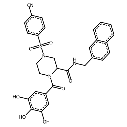 N#Cc1ccc(S(=O)(=O)N2CCN(C(=O)c3cc(O)c(O)c(O)c3)C(C(=O)NCc3ccc4ccccc4c3)C2)cc1